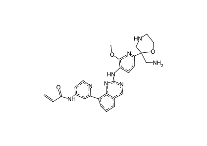 C=CC(=O)Nc1ccnc(-c2cccc3cnc(Nc4ccc(C5(CN)CNCCO5)nc4OC)nc23)c1